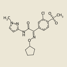 Cn1ccc(NC(=O)C(=NOC2CCCC2)c2ccc(S(C)(=O)=O)c(Cl)c2)n1